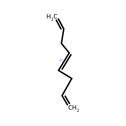 C=CC/C=C/CC=C